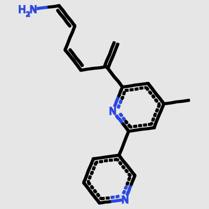 C=C(/C=C\C=C/N)c1cc(C)cc(-c2cccnc2)n1